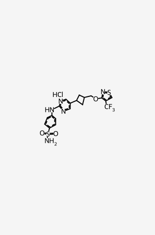 Cl.NS(=O)(=O)c1ccc(Nc2ncc(C3CC(COc4nscc4C(F)(F)F)C3)cn2)cc1